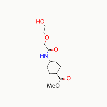 COC(=O)[C@H]1CC[C@H](NC(=O)COCCO)CC1